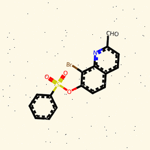 O=Cc1ccc2ccc(OS(=O)(=O)c3ccccc3)c(Br)c2n1